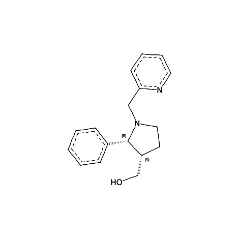 OC[C@H]1CCN(Cc2ccccn2)[C@H]1c1ccccc1